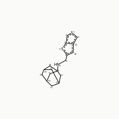 c1scc2sc(CNC34CC5CC(CC(C5)C3)C4)cc12